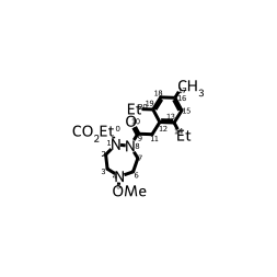 CCOC(=O)N1CCN(OC)CCN1C(=O)Cc1c(CC)cc(C)cc1CC